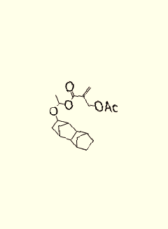 C=C(COC(C)=O)C(=O)OC(C)OC1CC2CC1C1C3CCC(C3)C21